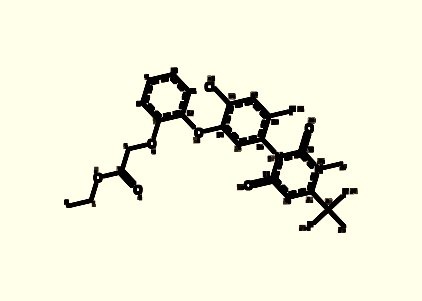 CCOC(=O)COc1ccccc1Oc1cc(-n2c(=O)cc(C(C)(F)F)n(C)c2=O)c(F)cc1Cl